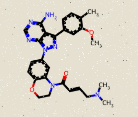 COc1cc(-c2nn(-c3ccc4c(c3)N(C(=O)/C=C/CN(C)C)CCO4)c3ncnc(N)c23)ccc1C